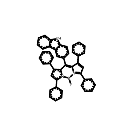 FB1n2c(-c3ccccc3)cc(-c3ccccc3)c2C(c2ccc3[nH]c4ccccc4c3c2)=C2C(c3ccccc3)=CC(c3ccccc3)=[N+]12